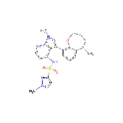 CN1CCCOc2c(-c3cn(C)c4nccc(NS(=O)(=O)c5ccn(C)n5)c34)cccc21